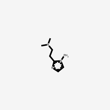 CN(C)CCc1nccn1P